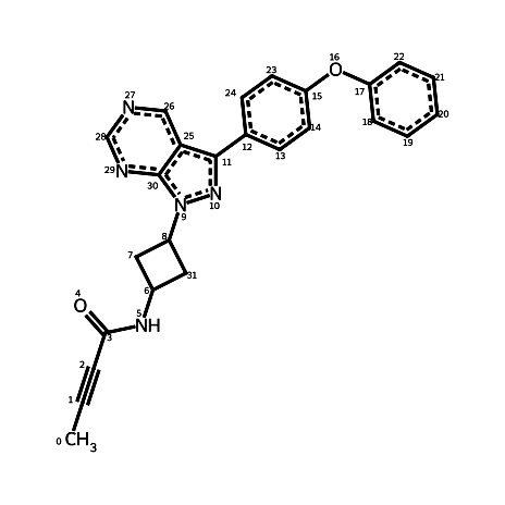 CC#CC(=O)NC1CC(n2nc(-c3ccc(Oc4ccccc4)cc3)c3cncnc32)C1